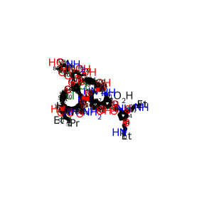 CCNCCOc1ccc(NC(=O)Oc2cc(O)c3c(c2)[C@@H](C(=O)O)NC(=O)[C@H]2NC(=O)[C@H](CC(=O)[C@@H]4NC(=O)[C@H](CC(N)=O)CC(=O)[C@H](NC(=O)[C@H](CC)CC(C)C)[C@H](O)c5ccc(c(Cl)c5)Oc5cc4cc(c5O[C@@H]4O[C@H](CO)[C@@H](O)[C@H](O)[C@H]4O[C@H]4C[C@](C)(N)[C@H](O)[C@H](C)O4)Oc4ccc(cc4Cl)[C@H]2O)c2ccc(O)c-3c2)c(OCCNCC)c1